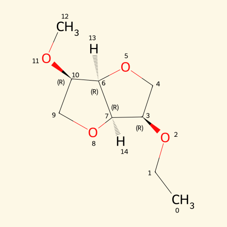 CCO[C@@H]1CO[C@H]2[C@@H]1OC[C@H]2OC